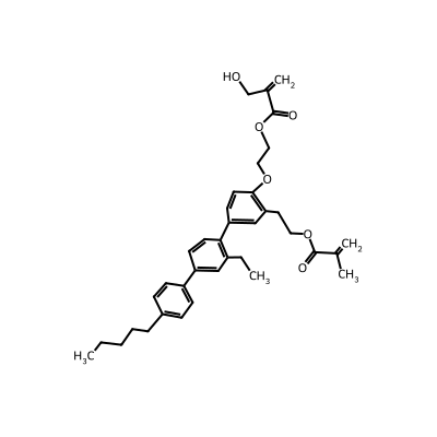 C=C(C)C(=O)OCCc1cc(-c2ccc(-c3ccc(CCCCC)cc3)cc2CC)ccc1OCCOC(=O)C(=C)CO